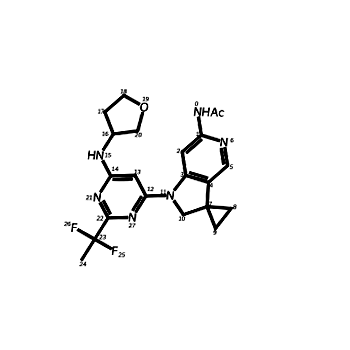 CC(=O)Nc1cc2c(cn1)C1(CC1)CN2c1cc(NC2CCOC2)nc(C(C)(F)F)n1